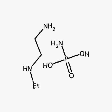 CCNCCN.NP(=O)(O)O